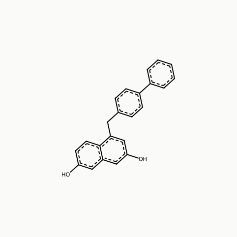 Oc1ccc2c(Cc3ccc(-c4ccccc4)cc3)cc(O)cc2c1